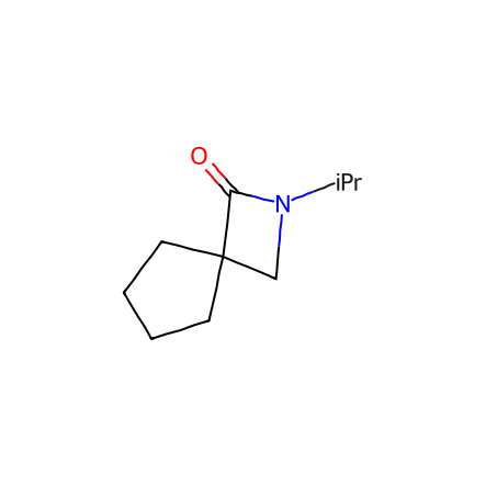 CC(C)N1CC2(CCCC2)C1=O